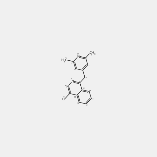 Cc1cc(Cc2nnc(Cl)c3ccccc23)cc(C)n1